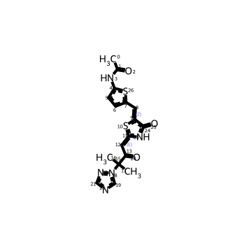 CC(=O)Nc1ccc(/C=c2\s/c(=C/C(=O)C(C)(C)n3cncn3)[nH]c2=O)s1